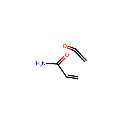 C=C=O.C=CC(N)=O